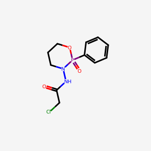 O=C(CCl)NN1CCCOP1(=O)c1ccccc1